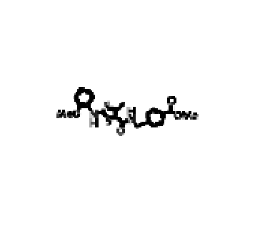 COC(=O)c1ccc(CNC(=O)c2sc(Nc3ccccc3OC)nc2C)cc1